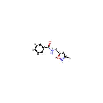 Cc1cc(CNC(=O)c2ccccc2)on1